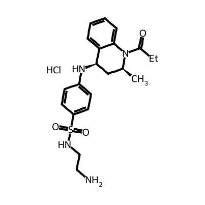 CCC(=O)N1c2ccccc2[C@H](Nc2ccc(S(=O)(=O)NCCN)cc2)C[C@@H]1C.Cl